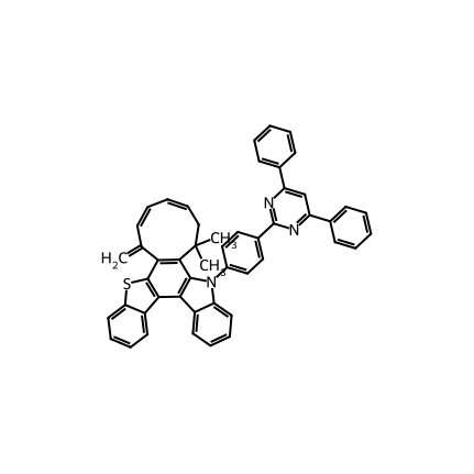 C=C1/C=C\C=C/CC(C)(C)c2c1c1sc3ccccc3c1c1c3ccccc3n(-c3ccc(-c4nc(-c5ccccc5)cc(-c5ccccc5)n4)cc3)c21